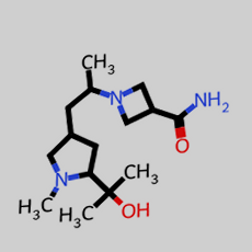 CC(CC1CC(C(C)(C)O)N(C)C1)N1CC(C(N)=O)C1